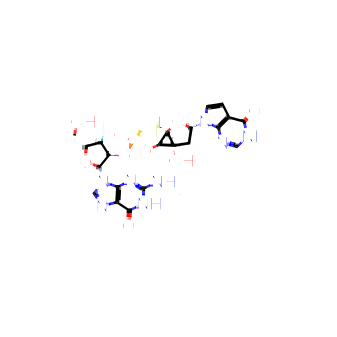 Nc1nc2c(ncn2[C@@H]2O[C@H](CO)[C@@H](F)[C@H]2OP(=O)(S)OC2[C@H]3O[C@@H](n4ccc5c(=O)[nH]cnc54)C[C@@]23O)c(=O)[nH]1